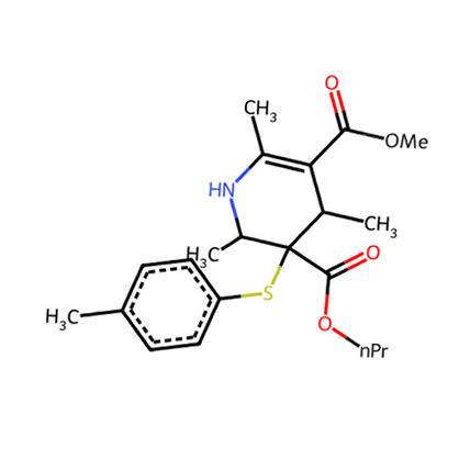 CCCOC(=O)C1(Sc2ccc(C)cc2)C(C)NC(C)=C(C(=O)OC)C1C